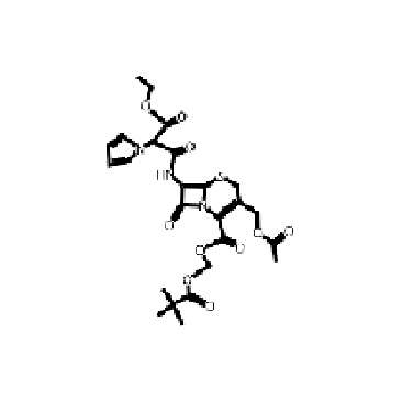 CCOC(=O)C(C(=O)NC1C(=O)N2C(C(=O)OCOC(=O)C(C)(C)C)=C(COC(C)=O)CSC12)n1cccc1